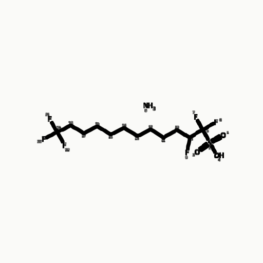 N.O=S(=O)(O)C(F)(F)C(F)CCCCCCCCCC(F)(F)F